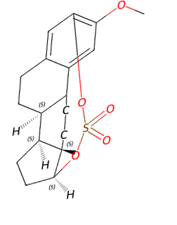 COc1cc2c3cc1OS(=O)(=O)O[C@H]1CC[C@H]4[C@@H](CC3)C2CC[C@]14C